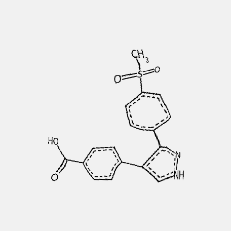 CS(=O)(=O)c1ccc(-c2n[nH]cc2-c2ccc(C(=O)O)cc2)cc1